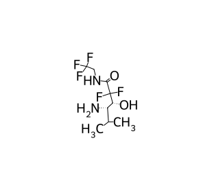 CC(C)[C@H](N)[C@@H](O)C(F)(F)C(=O)NCC(F)(F)F